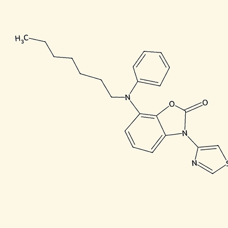 CCCCCCCN(c1ccccc1)c1cccc2c1oc(=O)n2-c1cscn1